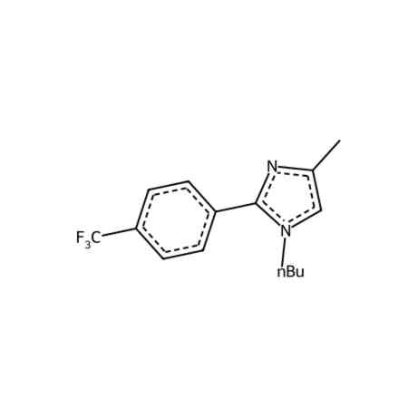 CCCCn1cc(C)nc1-c1ccc(C(F)(F)F)cc1